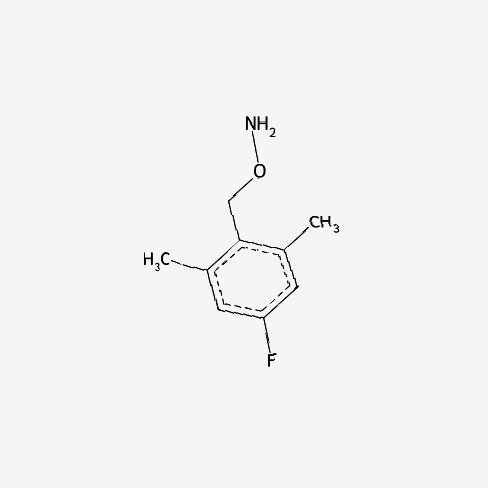 Cc1cc(F)cc(C)c1CON